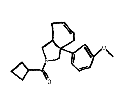 COc1cccc(C23CC=CCC2CN(C(=O)C2CCC2)C3)c1